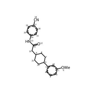 COc1cccc(C2CCC(CC(=O)Nc3ccc(C#N)cc3)CC2)c1